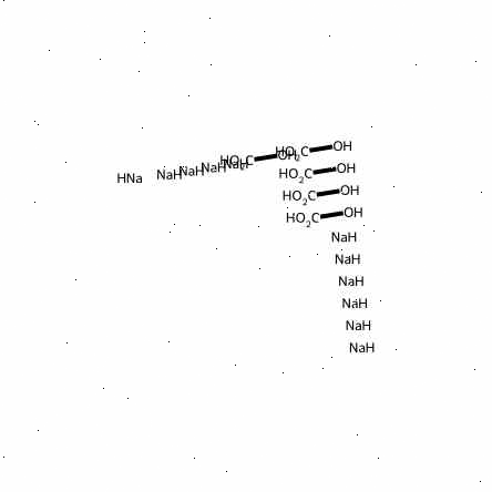 O=C(O)O.O=C(O)O.O=C(O)O.O=C(O)O.O=C(O)O.[NaH].[NaH].[NaH].[NaH].[NaH].[NaH].[NaH].[NaH].[NaH].[NaH].[NaH]